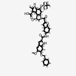 COc1cc2cc(C(=O)Nc3ccc4oc(C(=O)N5C[C@@H](Cl)c6c5cc(O[Si](C)(C)C(C)(C)C)c5[nH]c(C)c(C(=O)O)c65)cc4c3)[nH]c2cc1OCc1ccccc1